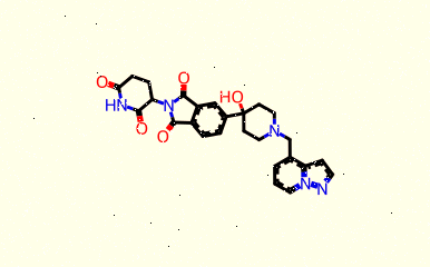 O=C1CCC(N2C(=O)c3ccc(C4(O)CCN(Cc5cccn6nccc56)CC4)cc3C2=O)C(=O)N1